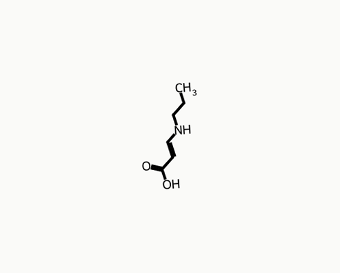 CCCNC=CC(=O)O